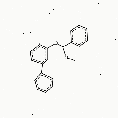 COC(Oc1[c]ccc(-c2ccccc2)c1)c1ccccc1